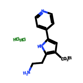 CCOC(=O)c1cc(-c2ccncc2)[nH]c1CCN.Cl.Cl